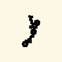 CN(C)CCCN1C(=O)C(c2ccc(OCCCNC3(C)CCCCC3)cc2)Sc2ccccc21